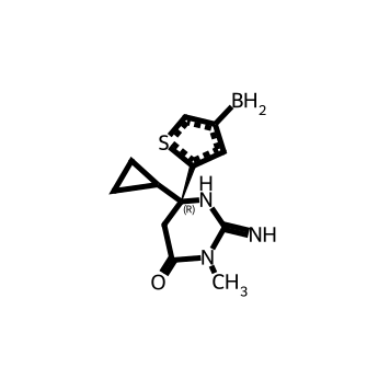 Bc1csc([C@]2(C3CC3)CC(=O)N(C)C(=N)N2)c1